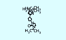 CC(C)N1CCN([C@H]2CC[C@@H](c3cc(N)n(C(C)(C)C)n3)C2)C1=O